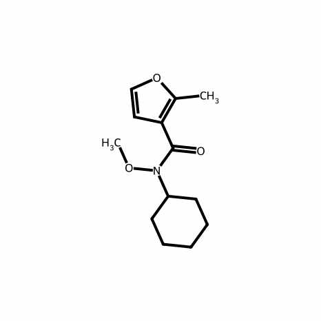 CON(C(=O)c1ccoc1C)C1CCCCC1